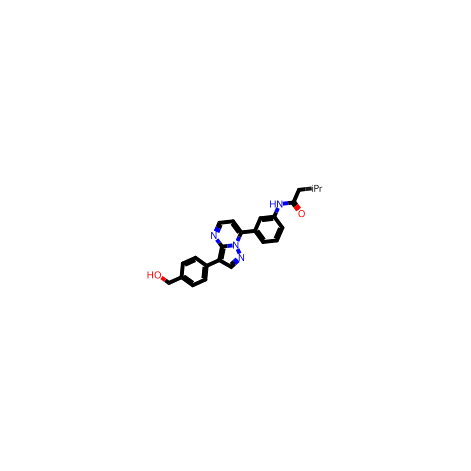 CC(C)CC(=O)Nc1cccc(-c2ccnc3c(-c4ccc(CO)cc4)cnn23)c1